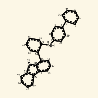 c1ccc(-c2ccc(Nc3ccccc3-c3cccc4c3sc3ccccc34)cc2)cc1